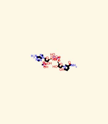 CP(=O)(O)OC1[C@@H](O)[C@@H](COP(=O)(O)OP(=O)(O)OC[C@H]2O[C@@H]([n+]3cccc(C(N)=O)c3)C(O)[C@H]2O)O[C@H]1n1cnc2c(N)ncnc21